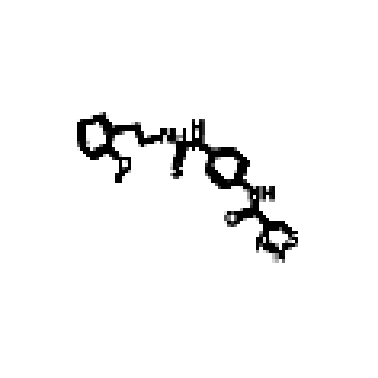 COc1ccccc1CCNC(=S)Nc1ccc(NC(=O)c2csnn2)cc1